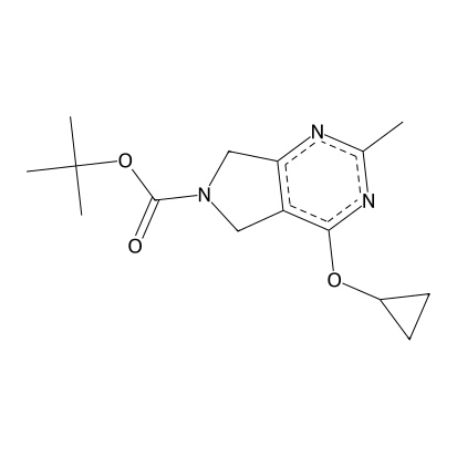 Cc1nc2c(c(OC3CC3)n1)CN(C(=O)OC(C)(C)C)C2